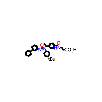 CC(C)(C)C1CCC(N2/C(=N/c3cccc(-c4ccccc4)c3)OCC2c2ccc(C(=O)NCCC(=O)O)cc2)CC1